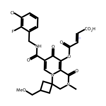 COCC1CC2(C1)CN(C)C(=O)c1c(OC(=O)/C=C/C(=O)O)c(=O)c(C(=O)NCc3cccc(Cl)c3F)cn12